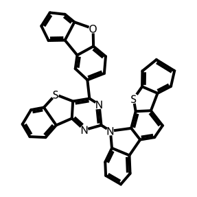 c1ccc2c(c1)oc1ccc(-c3nc(-n4c5ccccc5c5ccc6c7ccccc7sc6c54)nc4c3sc3ccccc34)cc12